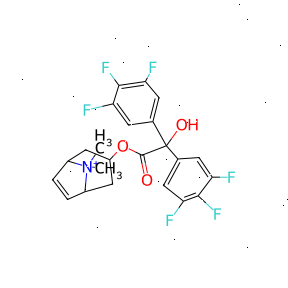 C[N+]1(C)C2C=CC1CC(OC(=O)C(O)(c1cc(F)c(F)c(F)c1)c1cc(F)c(F)c(F)c1)C2